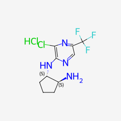 Cl.N[C@H]1CCC[C@@H]1Nc1ncc(C(F)(F)F)nc1Cl